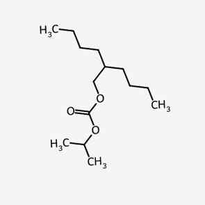 CCCCC(CCCC)COC(=O)OC(C)C